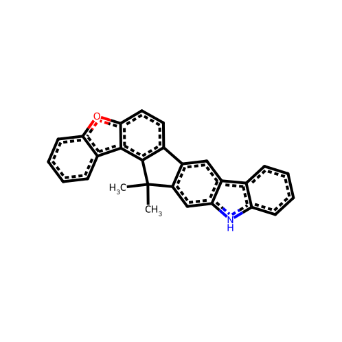 CC1(C)c2cc3[nH]c4ccccc4c3cc2-c2ccc3oc4ccccc4c3c21